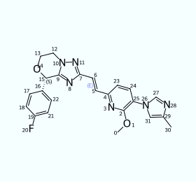 COc1nc(/C=C/c2nc3n(n2)CCO[C@H]3c2ccc(F)cc2)ccc1-n1cnc(C)c1